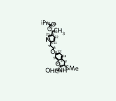 CSC(Cc1ccc(OCCc2ccc(C(C)OC(=O)C(C)C)cn2)cc1)C(=O)NC=O